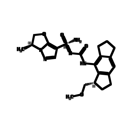 COC[C@H]1CCc2cc3c(c(NC(=O)N=[S@](N)(=O)c4cnn5c4OC[C@@H]5C)c21)CCC3